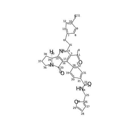 CC(=O)c1c(CCc2ccc(F)cc2)nc2c(c1-c1ccc(C(=O)NCc3ccco3)cc1)C(=O)N1CCC[C@@H]21